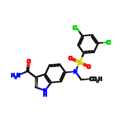 NC(=O)c1c[nH]c2cc(N(CC(=O)O)S(=O)(=O)c3cc(Cl)cc(Cl)c3)ccc12